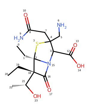 CC[C@]12SC(CN)(CC(N)=O)C(C(=O)O)N1C(=O)[C@]2(CC)[C@@H](C)O